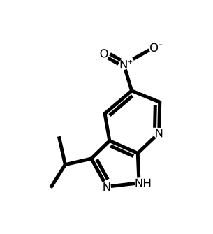 CC(C)c1n[nH]c2ncc([N+](=O)[O-])cc12